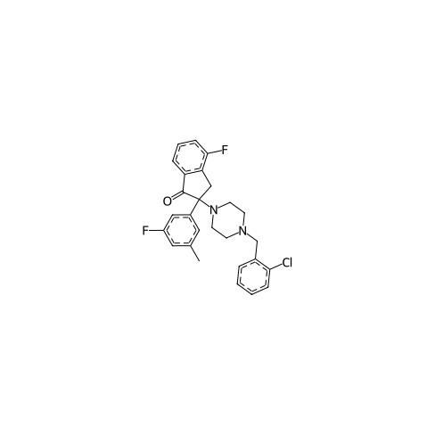 Cc1cc(F)cc(C2(N3CCN(Cc4ccccc4Cl)CC3)Cc3c(F)cccc3C2=O)c1